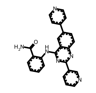 NC(=O)c1ccccc1Nc1nc(-c2cccnc2)nc2ccc(-c3ccncc3)cc12